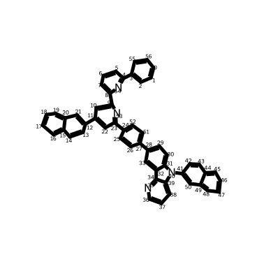 c1ccc(-c2cccc(-c3cc(-c4ccc5ccccc5c4)cc(-c4ccc(-c5ccc6c(c5)c5ncccc5n6-c5ccc6ccccc6c5)cc4)n3)n2)cc1